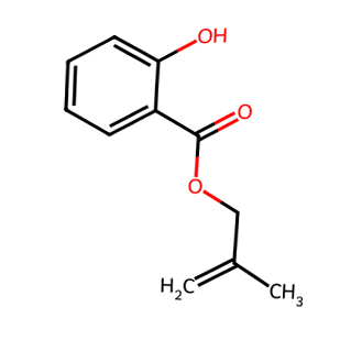 C=C(C)COC(=O)c1ccccc1O